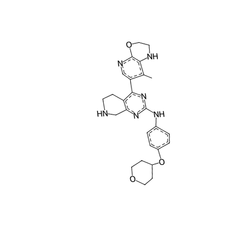 Cc1c(-c2nc(Nc3ccc(OC4CCOCC4)cc3)nc3c2CCNC3)cnc2c1NCCO2